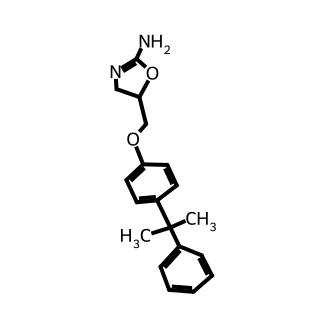 CC(C)(c1ccccc1)c1ccc(OCC2CN=C(N)O2)cc1